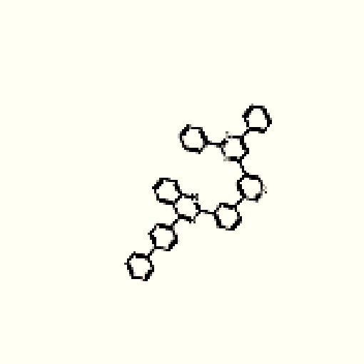 c1ccc(-c2ccc(-c3nc(-c4cccc(-c5cncc(-c6cc(-c7ccccc7)nc(-c7ccccc7)n6)c5)c4)nc4ccccc34)cc2)cc1